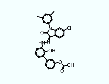 Cc1cc(C)cc(N2C(=O)C(=NNc3cccc(-c4cccc(OC(=O)O)c4)c3O)c3ccc(Cl)cc32)c1